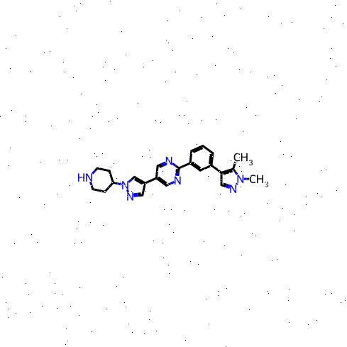 Cc1c(-c2cccc(-c3ncc(-c4cnn(C5CCNCC5)c4)cn3)c2)cnn1C